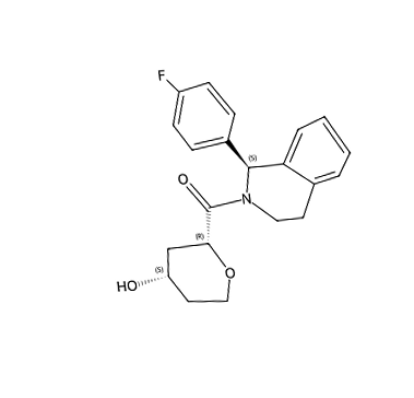 O=C([C@H]1C[C@@H](O)CCO1)N1CCc2ccccc2[C@@H]1c1ccc(F)cc1